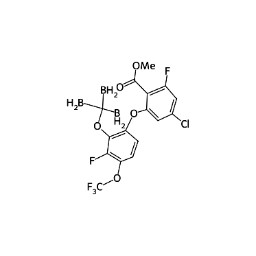 BC(B)(B)Oc1c(Oc2cc(Cl)cc(F)c2C(=O)OC)ccc(OC(F)(F)F)c1F